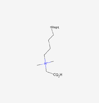 CCCCCCCCCCC[N+](C)(C)CC(=O)O